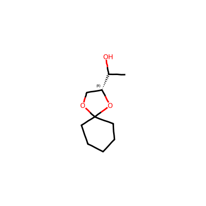 CC(O)[C@H]1COC2(CCCCC2)O1